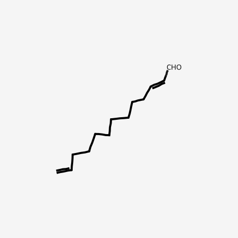 C=CCCCCCCCCC=CC=O